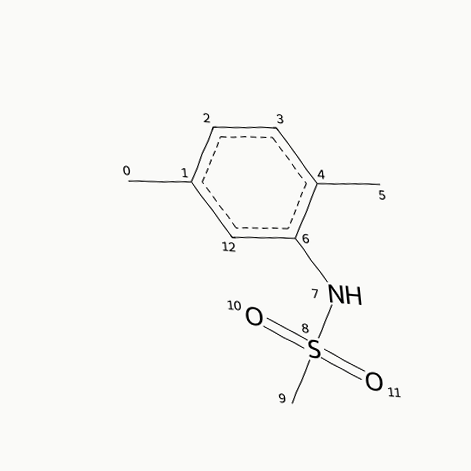 Cc1ccc(C)c(NS(C)(=O)=O)c1